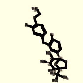 CCOc1ccc(Cc2cc([C@]34OC[C@@](C(C)(C)O)(O3)[C@@H](O)[C@H](O)[C@H]4O)ccc2Cl)cc1F